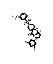 Cc1cccc(S(=O)(=O)N2CCC3(CC2)O[C@@H]2CC[C@@H](c4cc(F)cc(F)c4)N2C3=O)c1